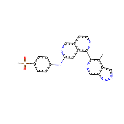 Cc1c(-c2nccc3cnc(Nc4ccc(S(C)(=O)=O)cc4)cc23)ncc2[nH]ncc12